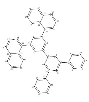 c1ccc(-c2cc(-c3cc(-c4ccnc5ccccc45)cc(-c4ccnc5ccccc45)c3)cc(-c3ccccc3)n2)cc1